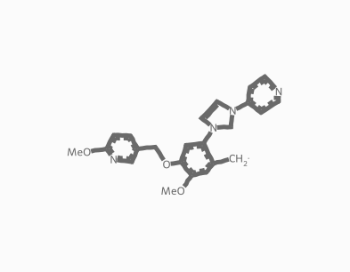 [CH2]c1cc(OC)c(OCc2ccc(OC)nc2)cc1N1C=CN(c2ccncc2)C1